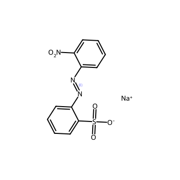 O=[N+]([O-])c1ccccc1/N=N/c1ccccc1S(=O)(=O)[O-].[Na+]